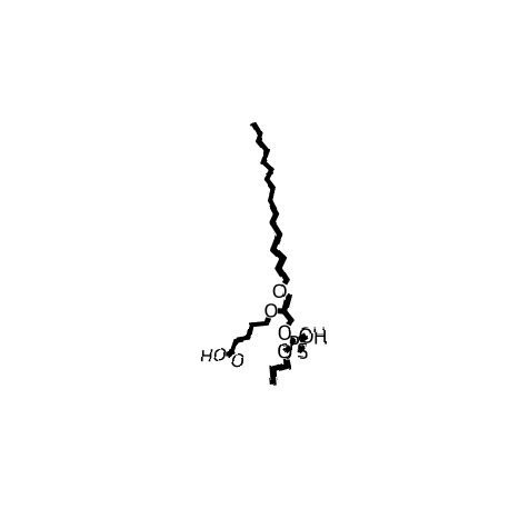 CCCCCCCCCCCCCCCCOCC(COP(O)(=S)OCCC)OCCCCC(=O)O